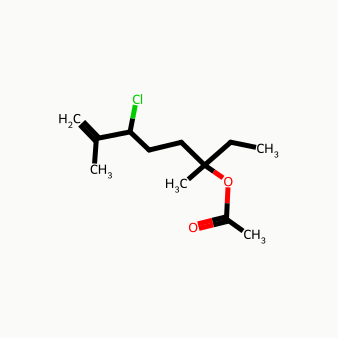 C=C(C)C(Cl)CCC(C)(CC)OC(C)=O